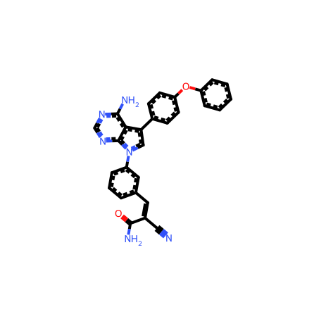 N#CC(=Cc1cccc(-n2cc(-c3ccc(Oc4ccccc4)cc3)c3c(N)ncnc32)c1)C(N)=O